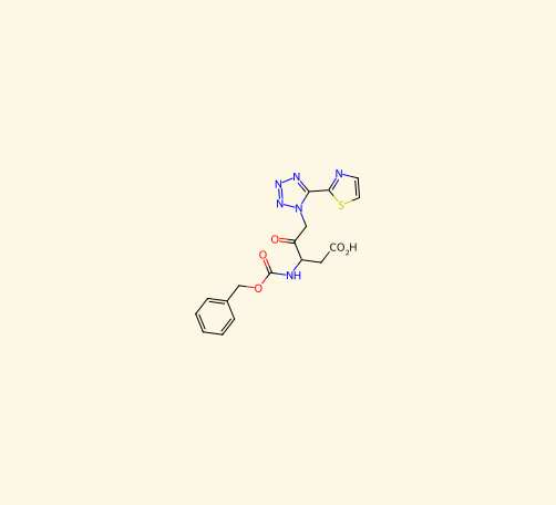 O=C(O)CC(NC(=O)OCc1ccccc1)C(=O)Cn1nnnc1-c1nccs1